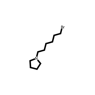 BrCCCCCCN1CCCC1